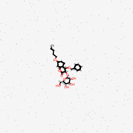 CCC=CCCOc1ccc2c(OCc3ccccc3)c(O[C@@H]3O[C@H](CO)[C@@H](O)[C@H](O)[C@@H]3O)c(=O)oc2c1